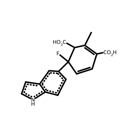 CC1=C(C(=O)O)C=CC(F)(c2ccc3[nH]ccc3c2)C1C(=O)O